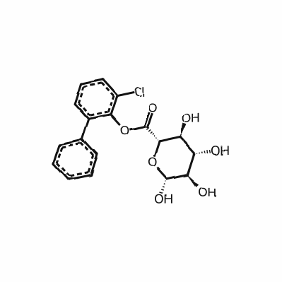 O=C(Oc1c(Cl)cccc1-c1ccccc1)[C@H]1O[C@@H](O)[C@H](O)[C@@H](O)[C@@H]1O